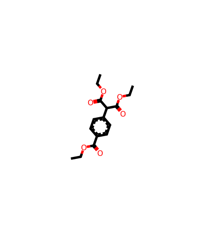 CCOC(=O)c1ccc(C(C(=O)OCC)C(=O)OCC)cc1